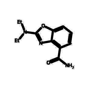 CCN(CC)c1nc2c(C(N)=O)[c]ccc2o1